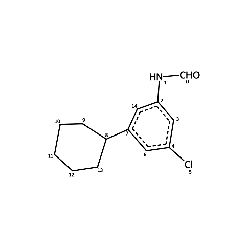 O=CNc1cc(Cl)cc(C2CCCCC2)c1